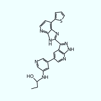 CCC(O)Nc1cncc(-c2cnc3[nH]nc(-c4nc5c(-c6cccs6)ccnc5[nH]4)c3c2)c1